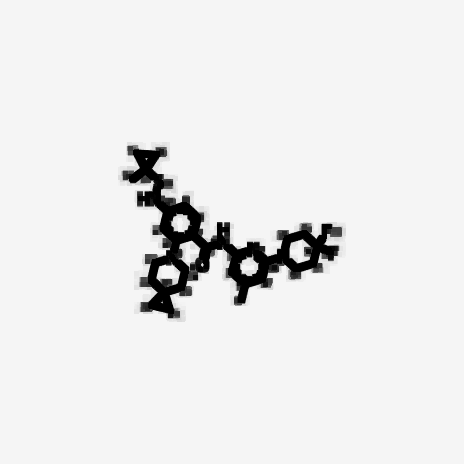 Cc1cc(NC(=O)c2ccc(NSC3(C)CC3)cc2N2CCC3(CC2)CC3)nc(N2CCC(F)(F)CC2)c1